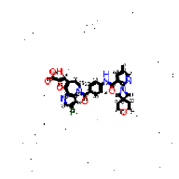 Cc1cnc(N2CC3(CCOCC3)C2)c(C(=O)Nc2ccc(C(=O)N3CCc4cc(C(=O)O)oc4-c4ncc(F)cc43)cc2)c1